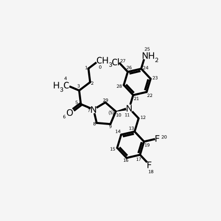 CCCC(C)C(=O)N1CC[C@H](N(Cc2cccc(F)c2F)c2ccc(N)c(Cl)c2)C1